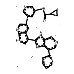 O=C(Nc1cncc(-c2cnc3[nH]cc(-c4nc5c(-c6ccccn6)cncc5[nH]4)c3c2)c1)C1CC1